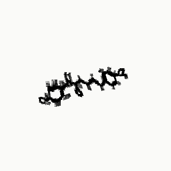 COc1ccc(CCCCC(=O)Nc2ccc(Cl)cc2)cc1